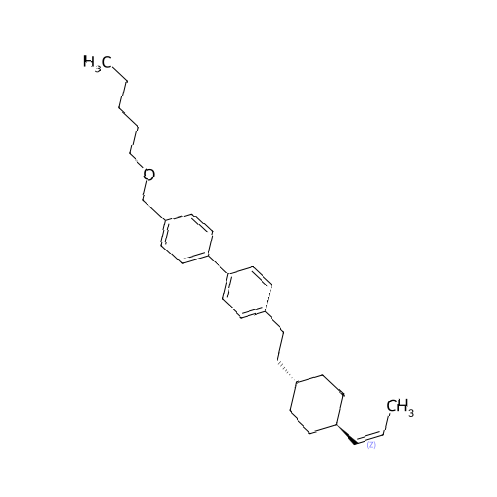 C/C=C\[C@H]1CC[C@H](CCc2ccc(-c3ccc(COCCCCC)cc3)cc2)CC1